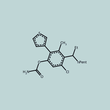 CCCCCC(CC)c1c(Cl)cc(OC(N)=O)c(-c2ccsc2)c1C